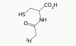 [2H]CC(=O)NC(CS)C(=O)O